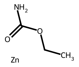 CCOC(N)=O.[Zn]